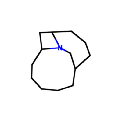 C1CCC2CCCC3CC(CC1)N3C2